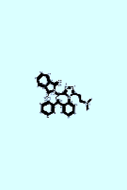 CN(C)CCc1nnc(CN2C(=O)c3ccccc3C2=O)n1-c1ccccc1C(=O)c1ccccc1Cl